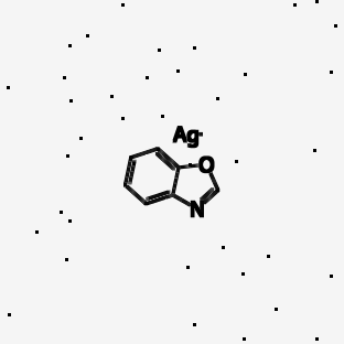 [Ag].c1ccc2ocnc2c1